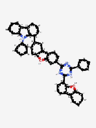 c1ccc(-c2nc(-c3ccc4c(c3)oc3ccc(-c5cccc6c7ccccc7n(-c7ccccc7)c56)cc34)nc(-c3cccc4c3oc3ccccc34)n2)cc1